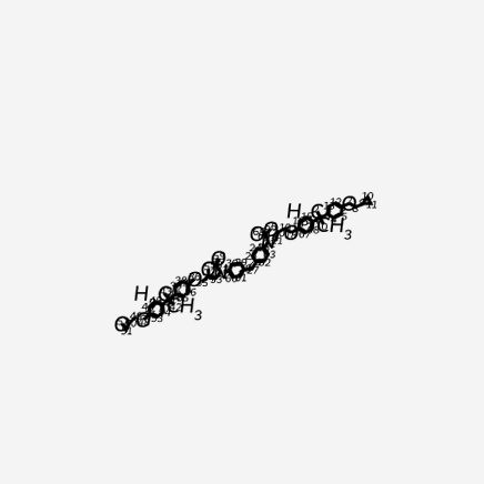 CC(C)(c1ccc(OCC2CC2)cc1)c1ccc(OCC2CN(c3ccc(Cc4ccc(N5CC(COc6ccc(C(C)(C)c7ccc(OCC8CO8)cc7)cc6)OC5=O)cc4)cc3)C(=O)O2)cc1